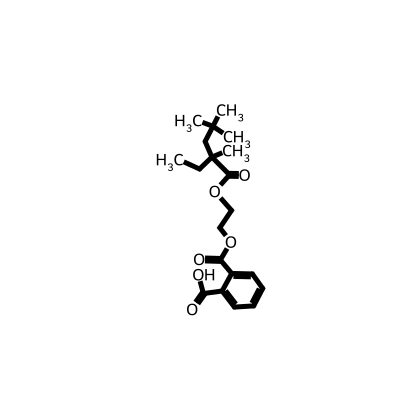 CCC(C)(CC(C)(C)C)C(=O)OCCOC(=O)c1ccccc1C(=O)O